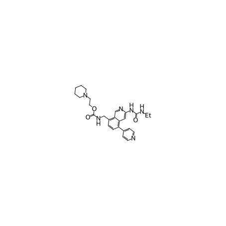 CCNC(=O)Nc1cc2c(-c3ccncc3)ccc(CNC(=O)OCCN3CCCCC3)c2cn1